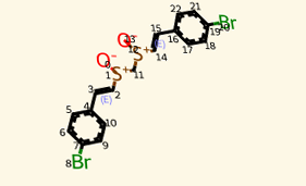 [O-][S+](/C=C/c1ccc(Br)cc1)C[S+]([O-])/C=C/c1ccc(Br)cc1